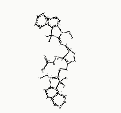 CCN1C(=CC=C2CCC(C=CC3=[N+](CC)c4ccc5ccccc5c4C3(C)C)=C2NCC(=O)O)C(C)(C)c2c1ccc1ccccc21